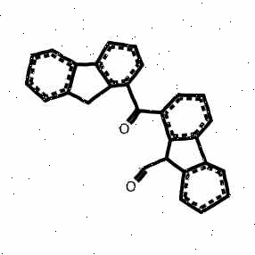 O=[C]C1c2ccccc2-c2cccc(C(=O)c3cccc4c3Cc3ccccc3-4)c21